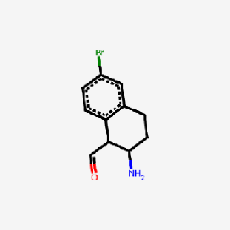 NC1CCc2cc(Br)ccc2C1C=O